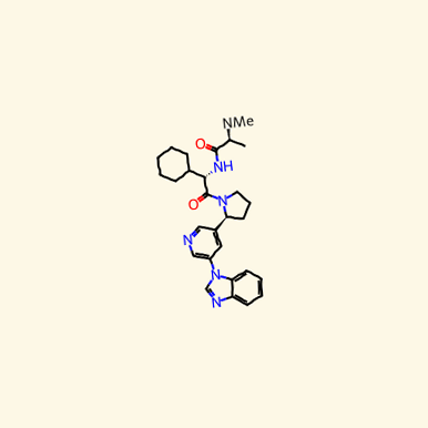 CN[C@@H](C)C(=O)N[C@H](C(=O)N1CCC[C@H]1c1cncc(-n2cnc3ccccc32)c1)C1CCCCC1